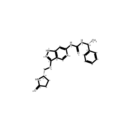 C[C@@H](NC(=O)Nc1cc2[nH]nc(OC[C@@H]3CCC(=O)N3)c2cn1)c1ccccc1